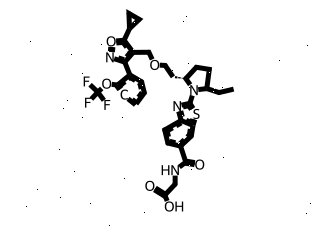 CCC1CC[C@@H](CCOCc2c(-c3ccccc3OC(F)(F)F)noc2C2CC2)N1c1nc2ccc(C(=O)NCC(=O)O)cc2s1